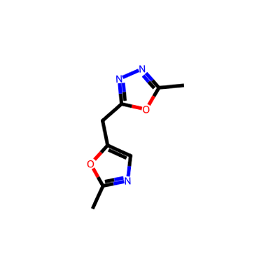 Cc1ncc(Cc2nnc(C)o2)o1